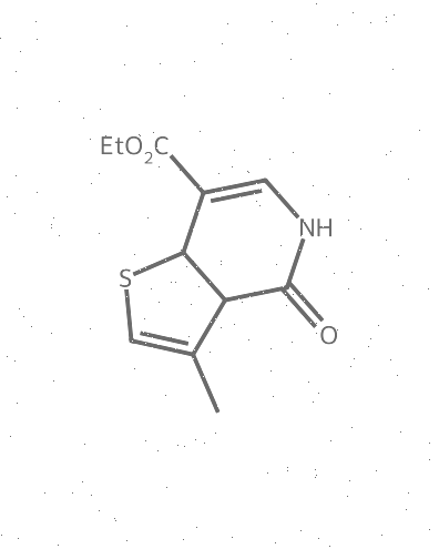 CCOC(=O)C1=CNC(=O)C2C(C)=CSC12